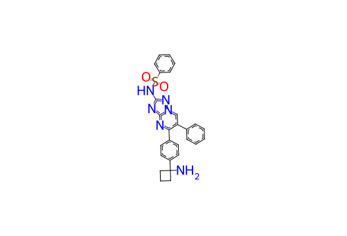 NC1(c2ccc(-c3nc4nc(NS(=O)(=O)c5ccccc5)nn4cc3-c3ccccc3)cc2)CCC1